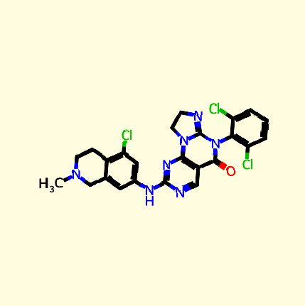 CN1CCc2c(Cl)cc(Nc3ncc4c(n3)N3CCN=C3N(c3c(Cl)cccc3Cl)C4=O)cc2C1